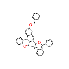 CC(C)(C)C(O[SiH](c1ccccc1)c1ccccc1)c1cc2cc(OCc3ccccc3)ccc2c(-c2ccccc2)c1C=O